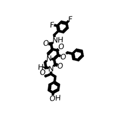 O=C(NCc1ccc(F)cc1F)c1cn2c(c(OCc3ccccc3)c1=O)C(=O)N1C(Cc3ccc(O)cc3)CO[C@@H]1C2